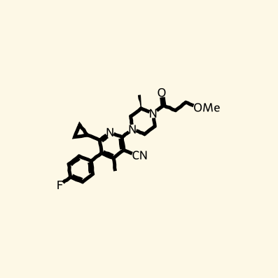 COCCC(=O)N1CCN(c2nc(C3CC3)c(-c3ccc(F)cc3)c(C)c2C#N)C[C@H]1C